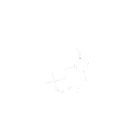 C[C@@H](O[Si](C)(C)C(C)(C)C)N1C(=O)CC1CC(=O)O